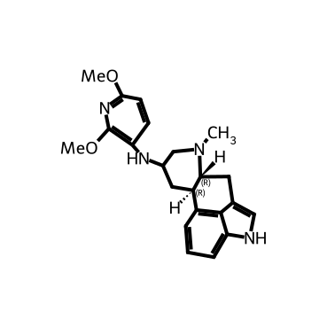 COc1ccc(NC2C[C@@H]3c4cccc5[nH]cc(c45)C[C@H]3N(C)C2)c(OC)n1